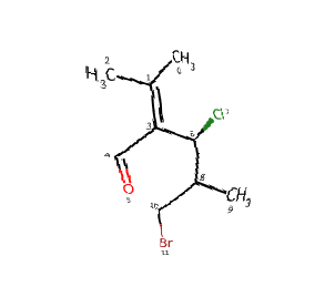 CC(C)=C(C=O)[C@@H](Cl)C(C)CBr